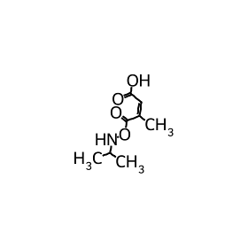 CC(=CC(=O)O)C(=O)ONC(C)C